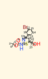 CC(C)(C)OC(=O)NC1=N[C@](C)(c2cccc(Br)c2)C[C@@H](C(C)(C)O)S1